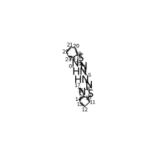 Cn1/c(=N\NCN/N=c2/sc3ccccc3n2C)sc2ccccc21